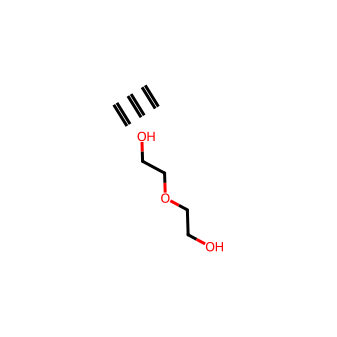 C=C.C=C.C=C.OCCOCCO